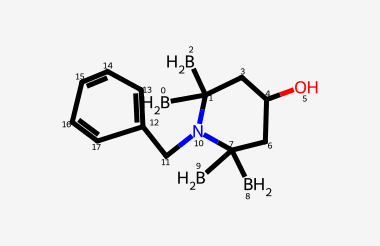 BC1(B)CC(O)CC(B)(B)N1Cc1ccccc1